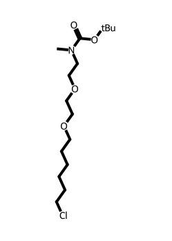 CN(CCOCCOCCCCCCCl)C(=O)OC(C)(C)C